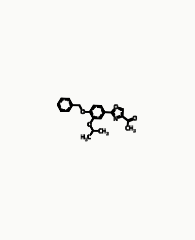 CC(=O)c1coc(-c2ccc(OCc3ccccc3)c(OC(C)C)c2)n1